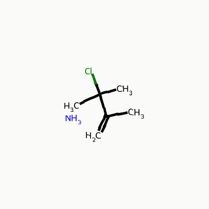 C=C(C)C(C)(C)Cl.N